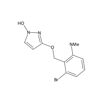 CNc1cccc(Br)c1COc1ccn(O)n1